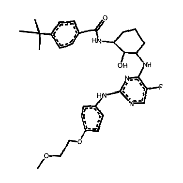 COCCOc1ccc(Nc2ncc(F)c(NC3CCCC(NC(=O)c4ccc(C(C)(C)C)cc4)C3O)n2)cc1